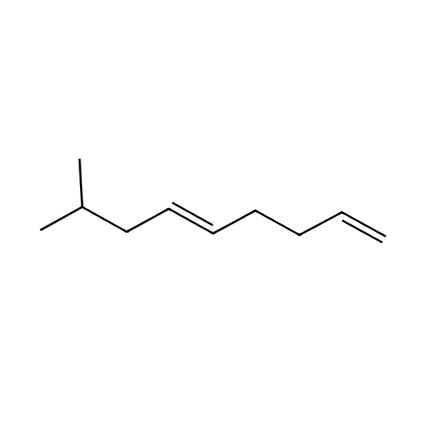 C=CCC/C=C/CC(C)C